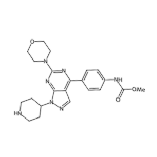 COC(=O)Nc1ccc(-c2nc(N3CCOCC3)nc3c2cnn3C2CCNCC2)cc1